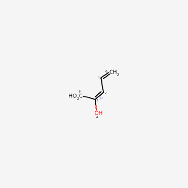 C=C/C=C(/O)C(=O)O